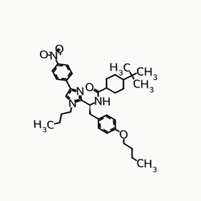 CCCCOc1ccc(C[C@H](NC(=O)C2CCC(C(C)(C)C)CC2)c2nc(-c3ccc([N+](=O)[O-])cc3)cn2CCCC)cc1